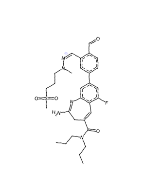 CCCN(CCC)C(=O)C1=Cc2c(F)cc(-c3ccc(C=O)c(/C=N\N(C)CCCS(C)(=O)=O)c3)cc2N=C(N)C1